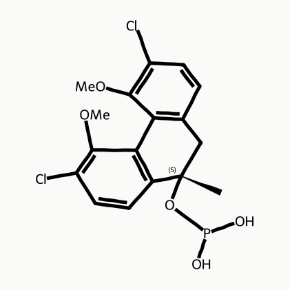 COc1c(Cl)ccc2c1-c1c(ccc(Cl)c1OC)[C@@](C)(OP(O)O)C2